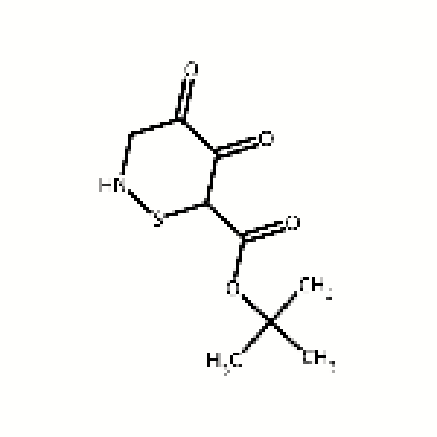 CC(C)(C)OC(=O)C1SNCC(=O)C1=O